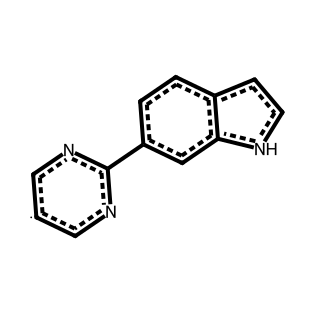 [c]1cnc(-c2ccc3cc[nH]c3c2)nc1